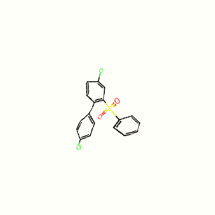 O=S(=O)(c1ccccc1)c1cc(Cl)ccc1-c1ccc(Cl)cc1